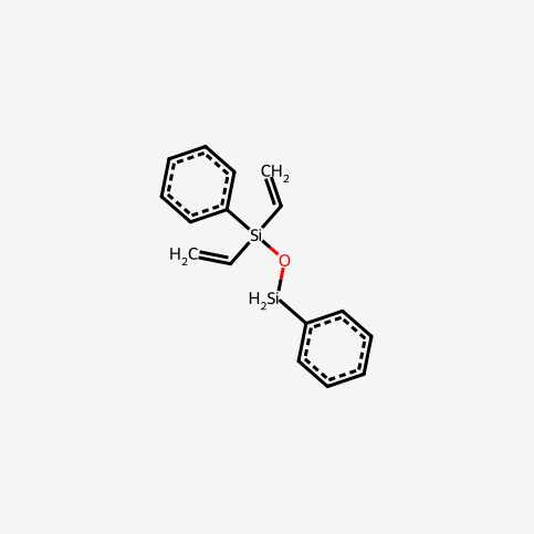 C=C[Si](C=C)(O[SiH2]c1ccccc1)c1ccccc1